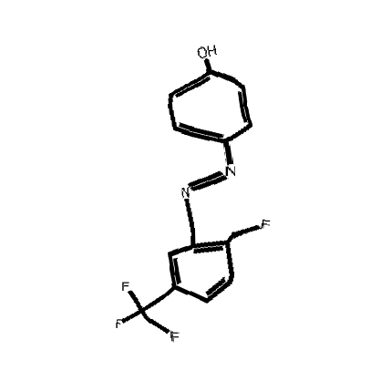 Oc1ccc(/N=N/c2cc(C(F)(F)F)ccc2F)cc1